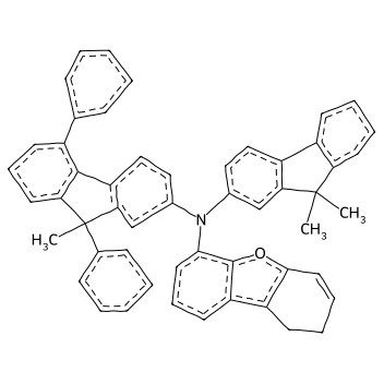 CC1(C)c2ccccc2-c2ccc(N(c3ccc4c(c3)C(C)(c3ccccc3)c3cccc(-c5ccccc5)c3-4)c3cccc4c5c(oc34)C=CCC5)cc21